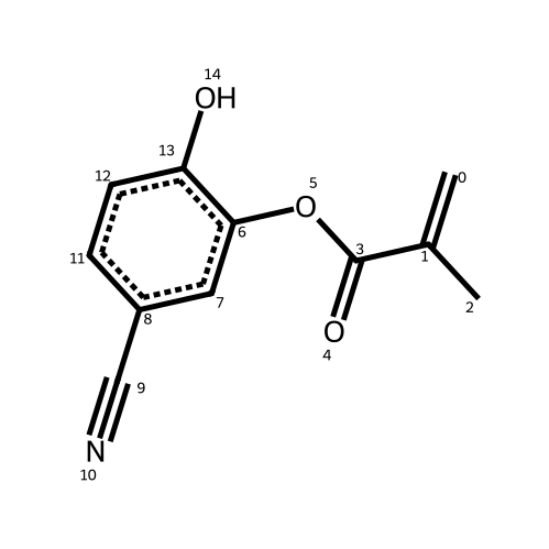 C=C(C)C(=O)Oc1cc(C#N)ccc1O